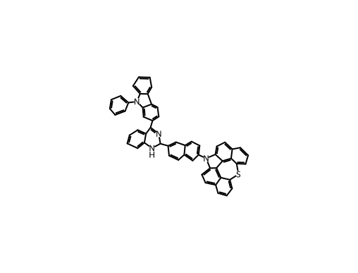 c1ccc(-n2c3ccccc3c3ccc(C4=NC(c5ccc6cc(-n7c8ccc9cccc%10sc%11cccc%12ccc7c(c%12%11)c8c9%10)ccc6c5)Nc5ccccc54)cc32)cc1